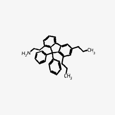 CCCc1cc(CCC)c2c(c1)-c1cccc(CCN)c1C2(c1ccccc1)c1ccccc1